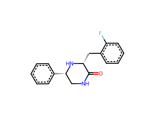 O=C1NC[C@H](c2ccccc2)N[C@@H]1Cc1ccccc1F